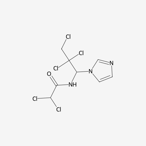 O=C(NC(n1ccnc1)C(Cl)(Cl)CCl)C(Cl)Cl